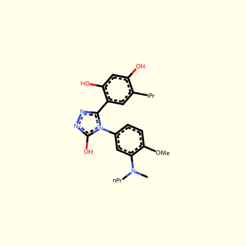 CCCN(C)c1cc(-n2c(O)nnc2-c2cc(C(C)C)c(O)cc2O)ccc1OC